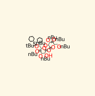 CCCCOCC1O[C@H](O[C@H]2OC(CO[Si](c3ccccc3)(c3ccccc3)C(C)(C)C)[C@@H](OCCCC)C(OCCCC)C2O)C(OCCCC)C(OCCCC)[C@@H]1OCCCC